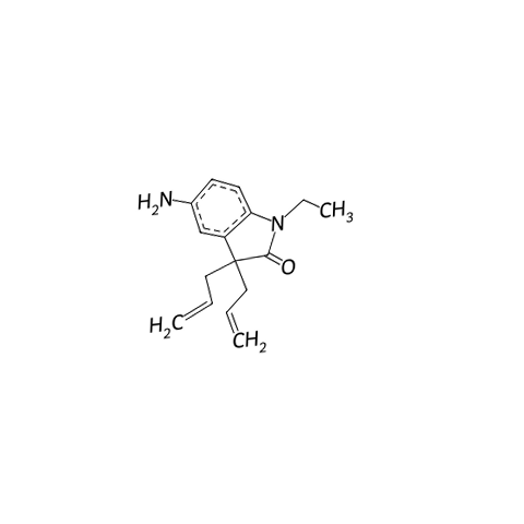 C=CCC1(CC=C)C(=O)N(CC)c2ccc(N)cc21